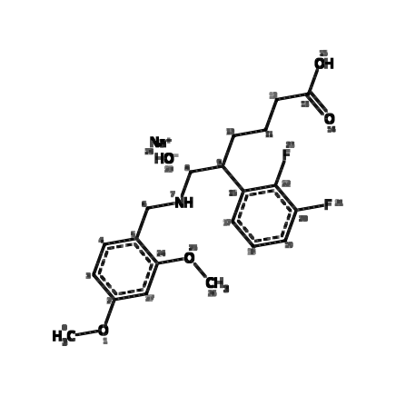 COc1ccc(CNCC(CCCC(=O)O)c2cccc(F)c2F)c(OC)c1.[Na+].[OH-]